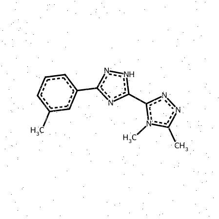 Cc1cccc(-c2n[nH]c(-c3nnc(C)n3C)n2)c1